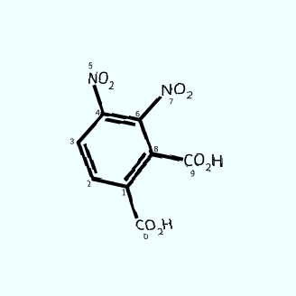 O=C(O)c1ccc([N+](=O)[O-])c([N+](=O)[O-])c1C(=O)O